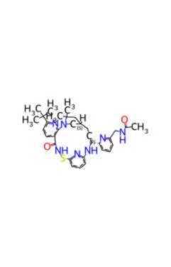 CC(=O)NCc1cccc([C@H]2CC[C@@H]3CN(c4nc(C(C)(C)C)ccc4C(=O)NSc4cccc(n4)N2)C(C)(C)C3)n1